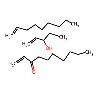 C=CC(=O)CCCCCCC.C=CC(O)CC.C=CCCCCCCC